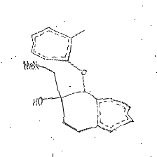 CNCC1(O)CCc2ccccc2C1Oc1ccccc1C